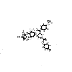 CSc1ccc(C(=O)[C@@H]2CN(C(=O)Oc3ccc(F)cc3)C[C@H]2c2cc(C)c(OC(C)(C)C(=O)O)c(C)c2)cc1